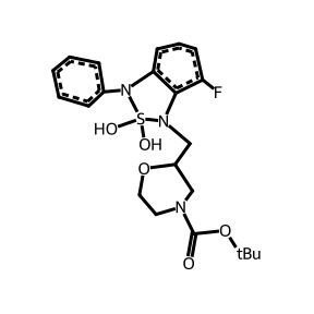 CC(C)(C)OC(=O)N1CCOC(CN2c3c(F)cccc3N(c3ccccc3)S2(O)O)C1